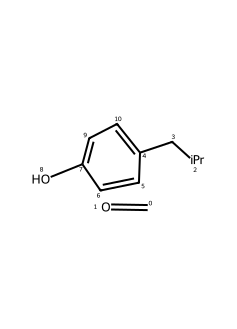 C=O.CC(C)Cc1ccc(O)cc1